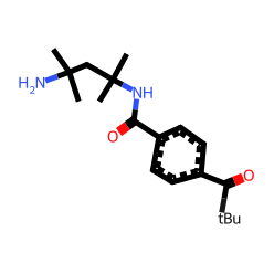 CC(C)(N)CC(C)(C)NC(=O)c1ccc(C(=O)C(C)(C)C)cc1